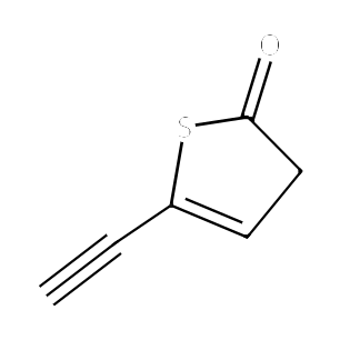 C#CC1=CCC(=O)S1